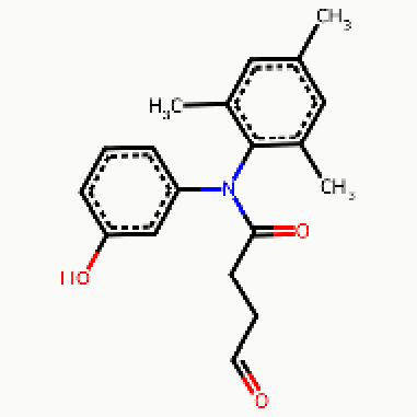 Cc1cc(C)c(N(C(=O)CCC=O)c2cccc(O)c2)c(C)c1